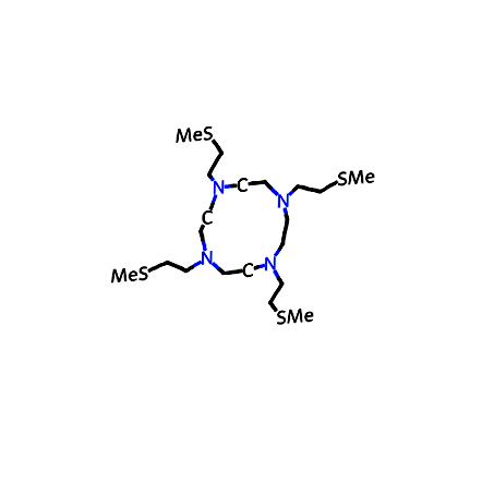 CSCCN1CCN(CCSC)CCN(CCSC)CCN(CCSC)CC1